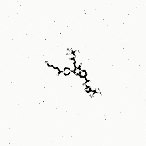 CC(C)(C)OC(=O)C=Cc1c(N2CCN(C(=O)CCCCO)CC2)nc2cc(C(=O)Nc3nc(C(C)(C)C)cs3)ccn2c1=O